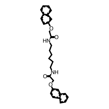 O=C(COc1ccc2ccccc2c1)NCCCCCCNC(=O)COc1ccc2ccccc2c1